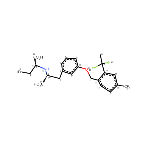 CC(C)C[C@H](N[C@@H](Cc1cccc(OCc2ccc(C(F)(F)F)cc2C(C)(F)F)c1)C(=O)O)C(=O)O